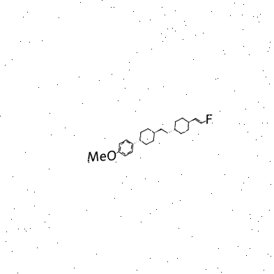 COc1ccc([C@H]2CC[C@H](CC[C@H]3CC[C@H](C=CF)CC3)CC2)cc1